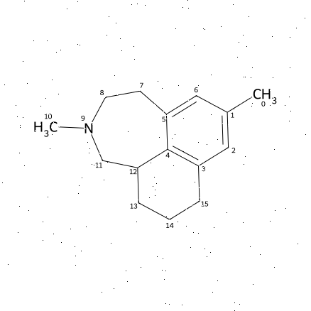 Cc1cc2c3c(c1)CCN(C)CC3CCC2